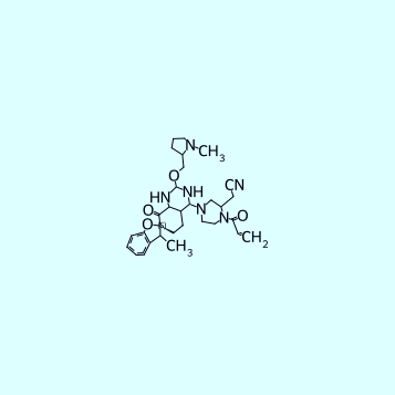 C=CC(=O)N1CCN(C2NC(OCC3CCCN3C)NC3C(=O)[C@@]4(CCC32)Oc2ccccc2C4C)CC1CC#N